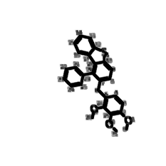 COc1ccc(Cc2ccc3sc4ccccc4c3c2-c2ccccc2)c(OC)c1OC